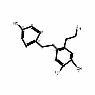 OCCc1cc(O)c(O)cc1CCc1ccc(O)cc1